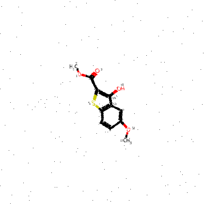 COC(=O)c1sc2ccc(OC)cc2c1O